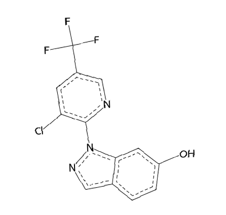 Oc1ccc2cnn(-c3ncc(C(F)(F)F)cc3Cl)c2c1